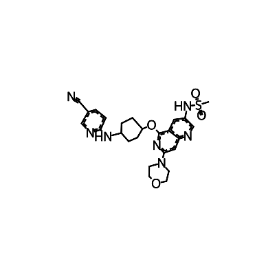 CS(=O)(=O)Nc1cnc2cc(N3CCOCC3)nc(OC3CCC(Nc4ccc(C#N)cn4)CC3)c2c1